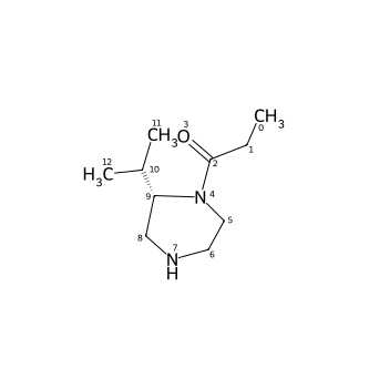 CCC(=O)N1CCNC[C@@H]1C(C)C